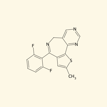 Cc1cc2c(s1)-c1ncncc1CN=C2c1c(F)cccc1F